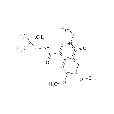 CCn1cc(C(=O)NCC(C)(C)C)c2cc(OC)c(OC)cc2c1=O